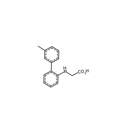 Cc1cccc(-c2ccccc2NCC(=O)O)c1